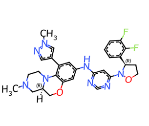 CN1CCN2c3c(cc(Nc4cc(N5OCC[C@@H]5c5cccc(F)c5F)ncn4)cc3-c3cnn(C)c3)OC[C@H]2C1